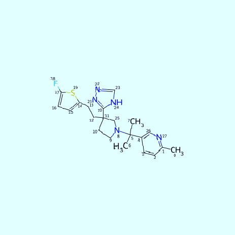 Cc1ccc(C(C)(C)N2CCC(CCc3ccc(F)s3)(c3nnc[nH]3)C2)cn1